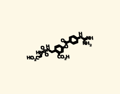 N=C(N)Nc1ccc(C(=O)Oc2ccc(CNS(=O)(=O)NCC(=O)O)c(C(=O)O)c2)cc1